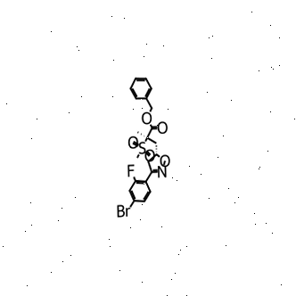 C[C@@](C[C@H]1CC(c2ccc(Br)cc2F)=NO1)(C(=O)OCc1ccccc1)S(C)(=O)=O